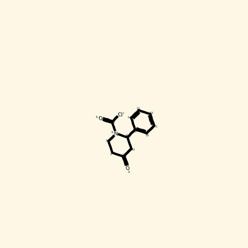 O=C1CCN(C(=O)Cl)C(c2ccccc2)C1